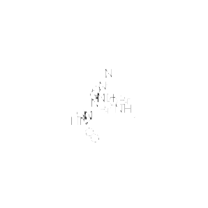 Nc1c(Br)cc(C[C@@H](NC(=O)N2CCC(n3cc(-c4ccc5ccccc5c4)[nH]c3=O)CC2)C(=O)N2CCC(N3CCCCC3)CC2)cc1Br